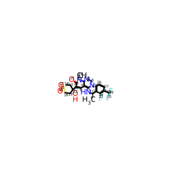 C[C@@H](Nc1ncnc2c1cc(C1(O)CCS(=O)(=O)CC1)c(=O)n2C)c1cccc(C(F)F)c1F